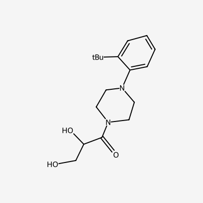 CC(C)(C)c1ccccc1N1CCN(C(=O)C(O)CO)CC1